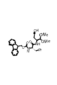 C#CCC(NC(=O)[C@H](CC(C)C)NC(=O)OCC1c2ccccc2-c2ccccc21)C(OC)OC